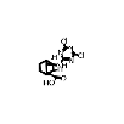 O=C(O)[C@@H]1C2CCC(CC2)[C@H]1Nc1nc(Cl)nc(Cl)n1